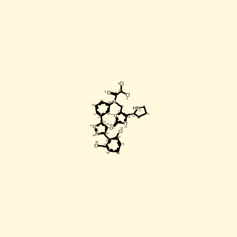 O=C(C(Cl)Cl)N(Cc1oc(=O)oc1C1CCCN1)c1cccc(-c2cc(-c3c(Cl)cccc3Cl)no2)c1